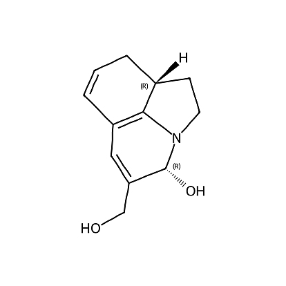 OCC1=CC2=C3[C@H](CC=C2)CCN3[C@@H]1O